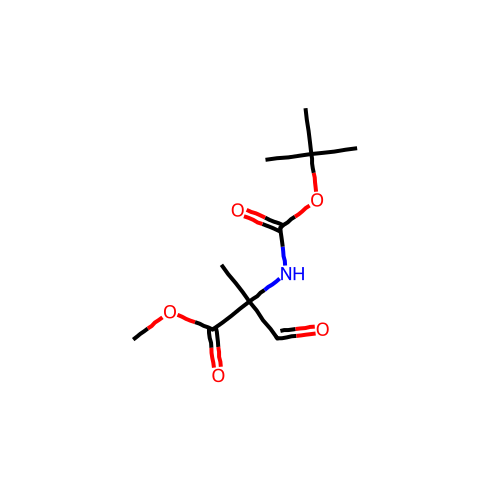 COC(=O)C(C)(C=O)NC(=O)OC(C)(C)C